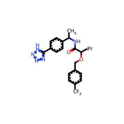 CC(NC(=O)C(OCc1ccc(C(F)(F)F)cc1)C(C)C)c1ccc(-c2nnn[nH]2)cc1